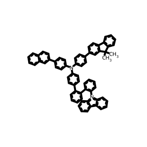 CC1(C)c2ccccc2-c2ccc(-c3ccc(N(c4ccc(-c5ccc6ccccc6c5)cc4)c4ccc(-c5ccccc5-c5ccccc5-n5c6ccccc6c6ccccc65)cc4)cc3)cc21